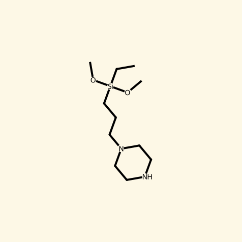 CC[Si](CCCN1CCNCC1)(OC)OC